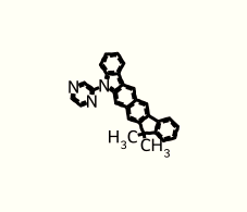 CC1(C)c2ccccc2-c2cc3cc4c5ccccc5n(-c5cnccn5)c4cc3cc21